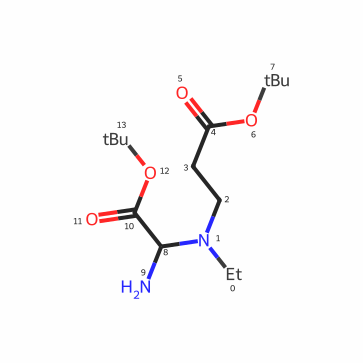 CCN(CCC(=O)OC(C)(C)C)C(N)C(=O)OC(C)(C)C